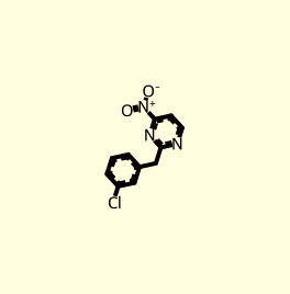 O=[N+]([O-])c1ccnc(Cc2cccc(Cl)c2)n1